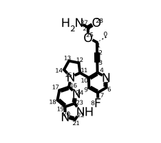 C[C@H](C#Cc1ncc(F)cc1C1CCCN1c1ccc2nc[nH]c2n1)OC(N)=O